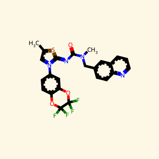 Cc1cn(-c2ccc3c(c2)OC(F)(F)C(F)(F)O3)c(=NC(=O)N(C)Cc2ccc3ncccc3c2)s1